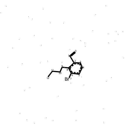 C=Cc1cccc(Br)c1CCCC